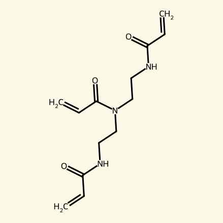 C=CC(=O)NCCN(CCNC(=O)C=C)C(=O)C=C